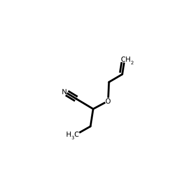 C=CCOC(C#N)CC